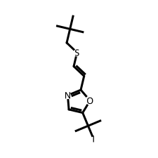 CC(C)(C)CS/C=C/c1ncc(C(C)(C)I)o1